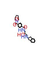 O=C(NC[C@@H](O)CNC1Cc2ccccc2C1)c1ccc(C(=O)N2CC3CCC(C2)O3)cc1